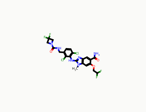 Cn1c(Nc2c(Cl)ccc(CNC(=O)N3CC(F)(F)C3)c2Cl)nc2cc(C(N)=O)c(OCC(F)F)cc21